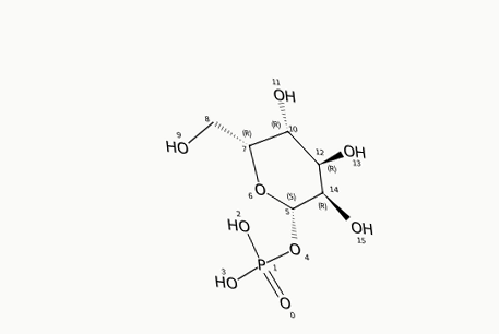 O=P(O)(O)O[C@@H]1O[C@H](CO)[C@H](O)[C@@H](O)[C@H]1O